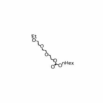 CCCCCCOC(=O)OCCOCCOCCOCC